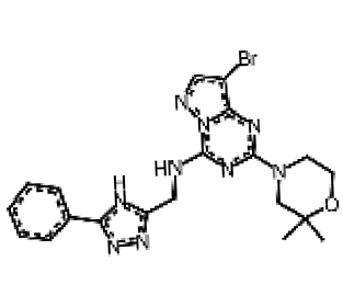 CC1(C)CN(c2nc(NCc3nnc(-c4ccccc4)[nH]3)n3ncc(Br)c3n2)CCO1